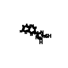 Sc1nc(-c2cnc3ccccc3c2)n[nH]1